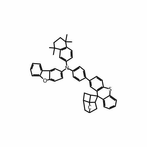 CC1(C)CCC(C)(C)c2cc(N(c3ccc(-c4ccc5c(c4)C4(c6ccccc6S5)C5CC6CC7CC4C75C6)cc3)c3ccc4oc5ccccc5c4c3)ccc21